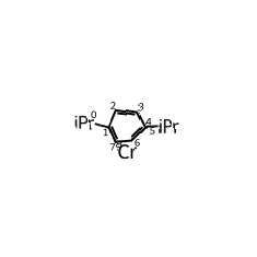 CC(C)c1ccc(C(C)C)cc1.[Cr]